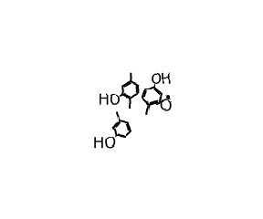 C=O.Cc1ccc(C)c(O)c1.Cc1ccc(O)cc1.Cc1cccc(O)c1